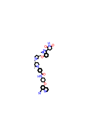 C[C@@H]1C[C@H](CN2CC[C@@H](COc3cccc4c(C5CCC(=O)NC5=O)nn(C)c34)C2)CCN1c1ccc(C(=O)NC2CCC(Oc3ccc(C#N)c4ncccc34)CC2)cc1